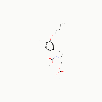 COCCCOc1cc([C@H]2[C@H](C(C)C)C[C@@H](COC(=O)OC(C)(C)C)N2C(=O)OC(C)(C)C)ccc1OC